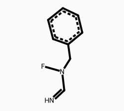 N=CN(F)Cc1ccccc1